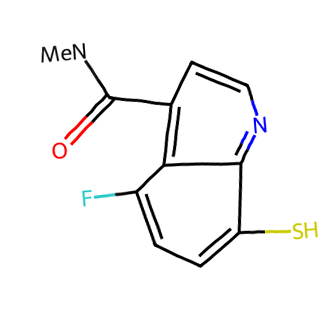 CNC(=O)c1ccnc2c(S)ccc(F)c12